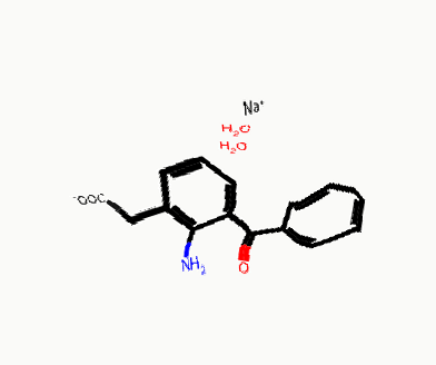 Nc1c(CC(=O)[O-])cccc1C(=O)c1ccccc1.O.O.[Na+]